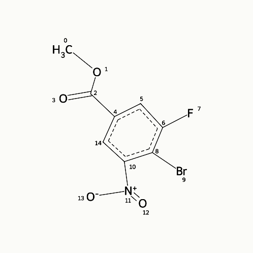 COC(=O)c1cc(F)c(Br)c([N+](=O)[O-])c1